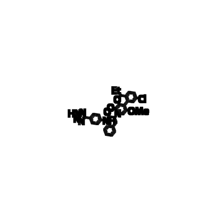 CCC(=O)c1ccc(Cl)cc1-c1cc(=O)n(C(Cc2ccccc2)C(=O)Nc2ccc(-c3nn[nH]n3)cc2)cc1OC